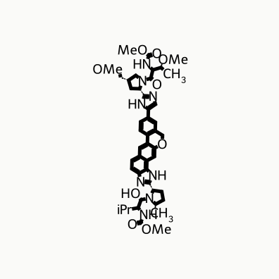 COC[C@H]1C[C@@H](c2ncc(-c3ccc4c(c3)COc3cc5c(ccc6nc([C@@H]7CC[C@H](C)N7C(O)C(NC(=O)OC)C(C)C)[nH]c65)cc3-4)[nH]2)N(C(=O)C(NC(=O)OC)[C@@H](C)OC)C1